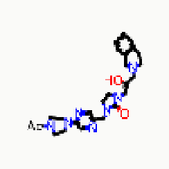 CC(=O)N1CCN(c2cnc(CN3CCN(C[C@H](O)CN4CCc5ccccc5C4)C3=O)cn2)CC1